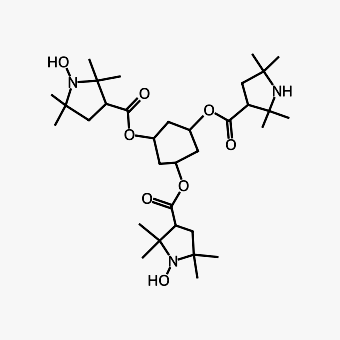 CC1(C)CC(C(=O)OC2CC(OC(=O)C3CC(C)(C)N(O)C3(C)C)CC(OC(=O)C3CC(C)(C)N(O)C3(C)C)C2)C(C)(C)N1